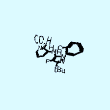 Cc1ccccc1-n1nc(C(C)(C)C)c(F)c1Nc1cccnc1C(=O)O